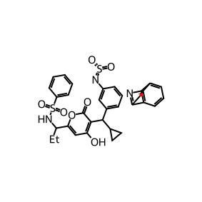 CCC(NS(=O)(=O)c1ccccc1)c1cc(O)c(C(c2cccc(N=S(=O)=O)c2)C2CC2)c(=O)o1.c1cc2c3nc-2ccc3c1